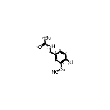 CC(C)(C)C(=O)NCc1ccc(Cl)c(SC#N)c1